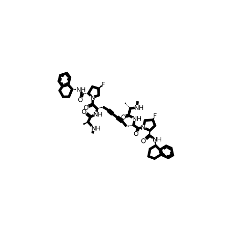 CN[C@@H](C)C(=O)N[C@@H](CC#CC#CC[C@H](NC(=O)[C@H](C)NC)C(=O)N1C[C@@H](F)C[C@H]1C(=O)N[C@@H]1CCCc2ccccc21)C(=O)N1C[C@H](F)C[C@H]1C(=O)N[C@@H]1CCCc2ccccc21